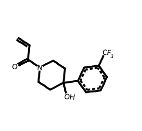 C=CC(=O)N1CCC(O)(c2cccc(C(F)(F)F)c2)CC1